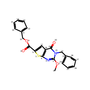 COc1nc2sc(C(=O)OCc3ccccc3)cc2c(=O)n1Cc1ccccc1